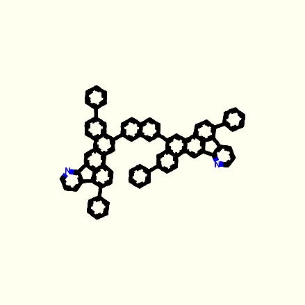 c1ccc(-c2ccc3c(c2)c(-c2ccc4ccc(-c5cc6c7ccc(-c8ccccc8)c8c7c(cc6c6ccc(-c7ccccc7)cc56)-c5ncccc5-8)cc4c2)cc2c4ccc(-c5ccccc5)c5c4c(cc32)-c2ncccc2-5)cc1